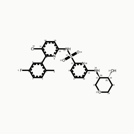 Cc1ccc(F)cc1-c1nc(NS(=O)(=O)c2cccc(N[C@@H]3COCC[C@H]3O)n2)ccc1Cl